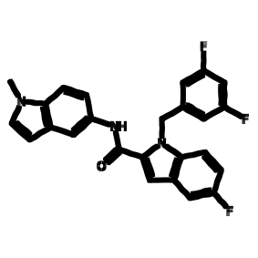 Cn1ccc2cc(NC(=O)c3cc4cc(F)ccc4n3Cc3cc(F)cc(F)c3)ccc21